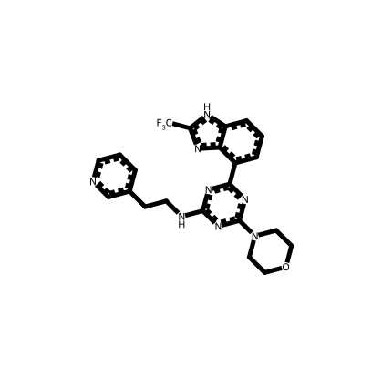 FC(F)(F)c1nc2c(-c3nc(NCCc4cccnc4)nc(N4CCOCC4)n3)cccc2[nH]1